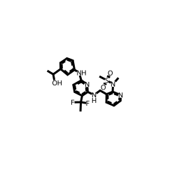 CC(O)c1cccc(Nc2ccc(C(C)(F)F)c(NCc3cccnc3N(C)S(C)(=O)=O)n2)c1